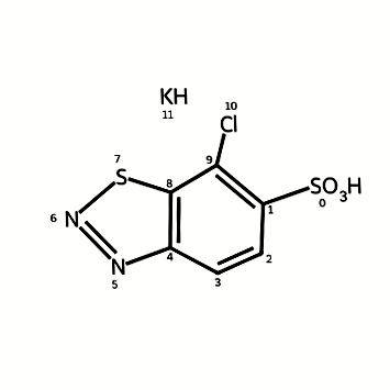 O=S(=O)(O)c1ccc2nnsc2c1Cl.[KH]